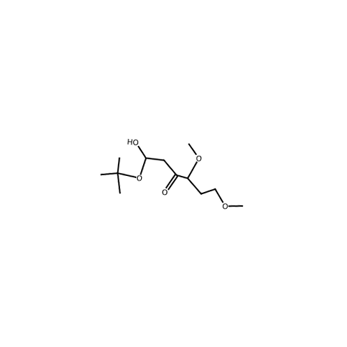 COCCC(OC)C(=O)CC(O)OC(C)(C)C